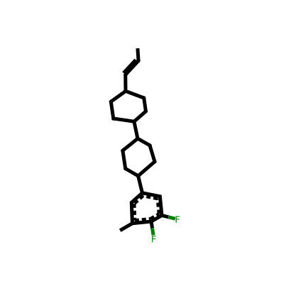 C/C=C/C1CCC(C2CCC(c3cc(C)c(F)c(F)c3)CC2)CC1